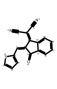 N#CC(C#N)=C1/C(=C/c2cccs2)C(=O)c2ccccc21